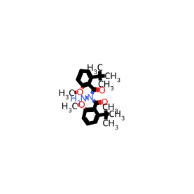 COc1cccc(C(C)(C)C)c1C(=O)N(N)C(=O)c1c(OC)cccc1C(C)(C)C